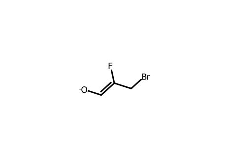 [O]C=C(F)CBr